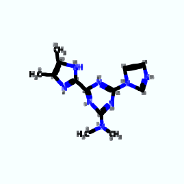 Cc1nc(-c2nc(N(C)C)nc(-n3ccnc3)n2)[nH]c1C